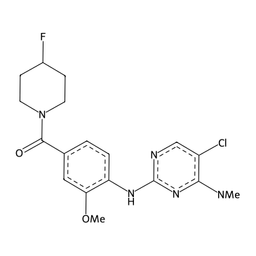 CNc1nc(Nc2ccc(C(=O)N3CCC(F)CC3)cc2OC)ncc1Cl